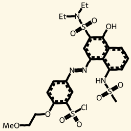 CCN(CC)S(=O)(=O)c1cc(N=Nc2ccc(OCCOC)c(S(=O)(=O)Cl)c2)c2c(NS(C)(=O)=O)cccc2c1O